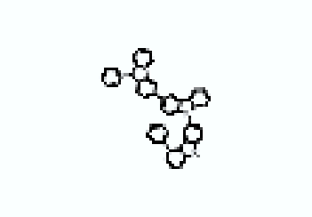 c1ccc(-c2cccc3sc4ccc(-n5c6ccccc6c6cc(-c7ccc8c(c7)c7ccccc7n8-c7ccccc7)ccc65)cc4c23)cc1